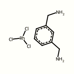 NCc1cccc(CN)c1.[Cl][Rh]([Cl])[Cl]